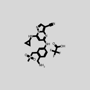 CS(=O)(=O)Cc1cc(Nc2cc(NC3CC3)n3ncc(C#N)c3n2)ccc1CN.O=C(O)C(F)(F)F